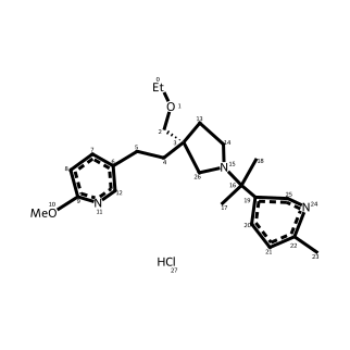 CCOC[C@]1(CCc2ccc(OC)nc2)CCN(C(C)(C)c2ccc(C)nc2)C1.Cl